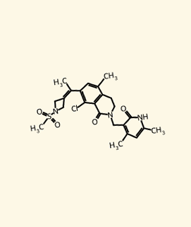 CC(=C1CN(S(C)(=O)=O)C1)c1cc(C)c2c(c1Cl)C(=O)N(Cc1c(C)cc(C)[nH]c1=O)CC2